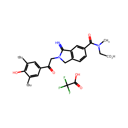 CN(CC(=O)O)C(=O)c1ccc2c(c1)C(=N)N(CC(=O)c1cc(C(C)(C)C)c(O)c(C(C)(C)C)c1)C2.O=C(O)C(F)(F)F